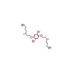 CC(C)CCCC(C)CCOc1cc(Br)c(OCCC(C)CCCC(C)C)cc1Br